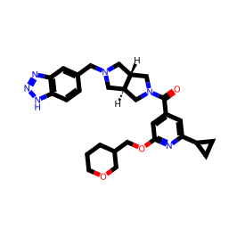 O=C(c1cc(OCC2CCCOC2)nc(C2CC2)c1)N1C[C@H]2CN(Cc3ccc4[nH]nnc4c3)C[C@@H]2C1